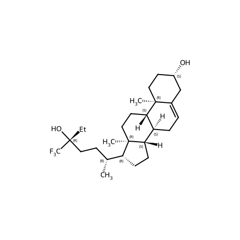 CC[C@@](O)(CC[C@@H](C)[C@H]1CC[C@H]2[C@@H]3CC=C4C[C@@H](O)CC[C@]4(C)[C@H]3CC[C@]12C)C(F)(F)F